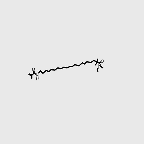 C=C(C)C(=O)NCCCCCCCCCCCCCCCCCCCC(C)(C)C(=O)N(C)CC